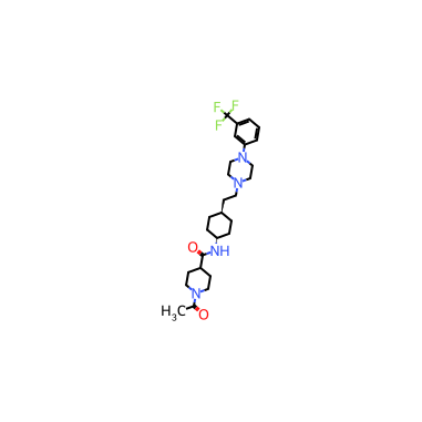 CC(=O)N1CCC(C(=O)N[C@H]2CC[C@H](CCN3CCN(c4cccc(C(F)(F)F)c4)CC3)CC2)CC1